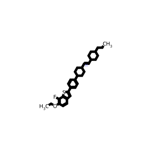 CCCC1CCC(/C=C/C2CCC(c3ccc(-c4cc5ccc(OCC)c(F)c5s4)cc3)CC2)CC1